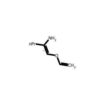 C=CO/C=C(\N)CCC